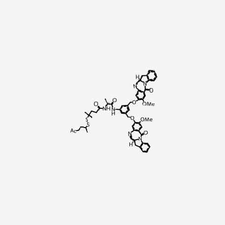 COc1cc2c(cc1OCc1cc(COc3cc4c(cc3OC)C(=O)N3c5ccccc5C[C@H]3C=N4)cc(NC(=O)[C@H](C)NC(=O)CCC(C)(C)SSC(C)CCC(C)=O)c1)N=C[C@@H]1Cc3ccccc3N1C2=O